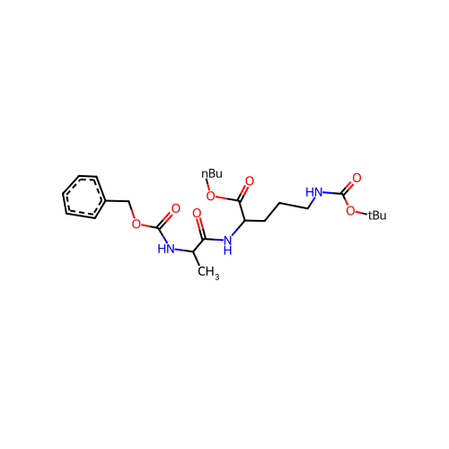 CCCCOC(=O)C(CCCNC(=O)OC(C)(C)C)NC(=O)C(C)NC(=O)OCc1ccccc1